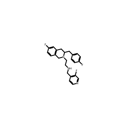 Fc1ccc(CC2Cc3cc(F)ccc3CN2CCNCc2ccncc2F)cc1